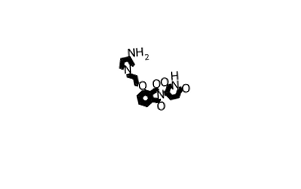 N[C@H]1CCN(CCCOc2cccc3c2C(=O)N(C2CCC(=O)NC2=O)C3=O)C1